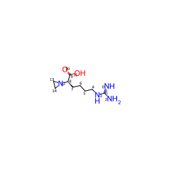 N=C(N)NCCCC[C@H](C(=O)O)N1CC1